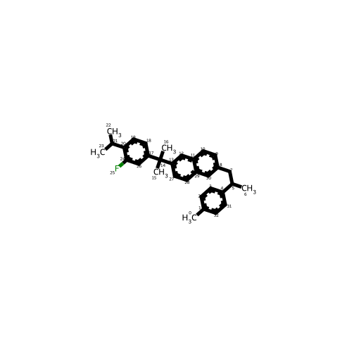 Cc1ccc(C(C)Cc2ccc3cc(C(C)(C)c4ccc(C(C)C)c(F)c4)ccc3c2)cc1